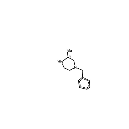 CCC(C)[C@H]1CN(Cc2ccccc2)CCN1